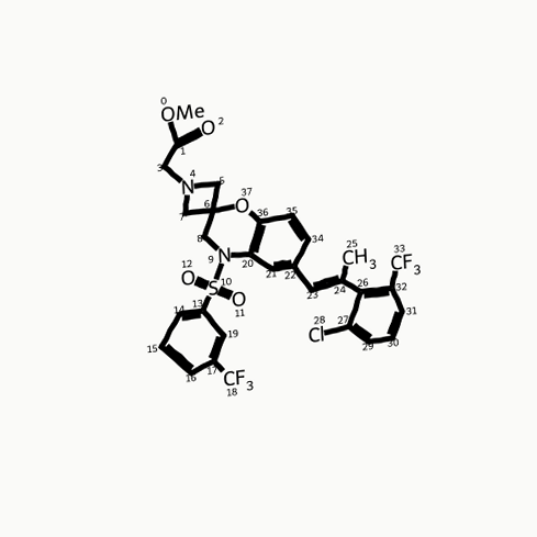 COC(=O)CN1CC2(C1)CN(S(=O)(=O)c1cccc(C(F)(F)F)c1)c1cc(/C=C(\C)c3c(Cl)cccc3C(F)(F)F)ccc1O2